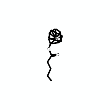 CCCCC(=O)O[C]12[CH]3[CH]4[CH]5[CH]1[Fe]45321678[CH]2[CH]1[CH]6[CH]7[CH]28